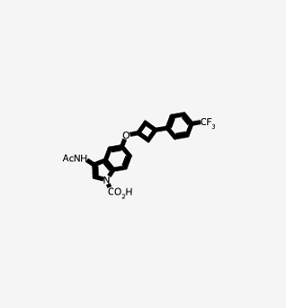 CC(=O)Nc1cn(C(=O)O)c2ccc(OC3CC(c4ccc(C(F)(F)F)cc4)C3)cc12